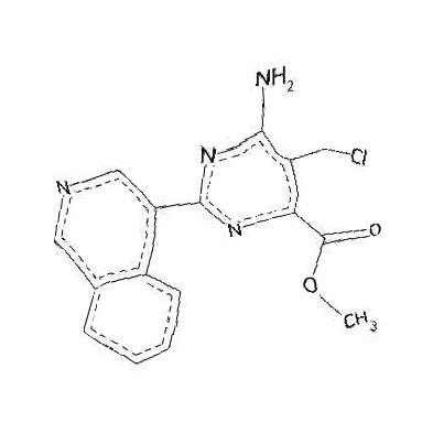 COC(=O)c1nc(-c2cncc3ccccc23)nc(N)c1Cl